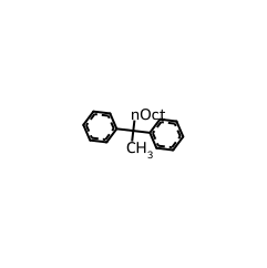 CCCCCCCCC(C)(c1ccccc1)c1ccccc1